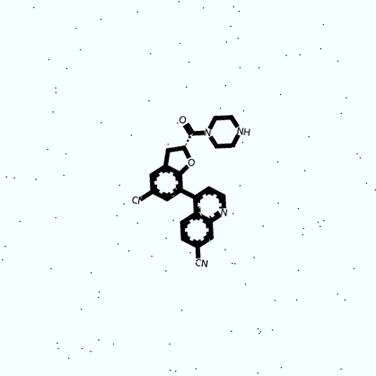 N#Cc1ccc2c(-c3cc(Cl)cc4c3O[C@@H](C(=O)N3CCNCC3)C4)ccnc2c1